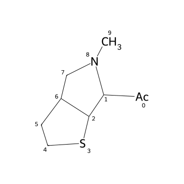 CC(=O)C1C2SCCC2CN1C